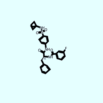 O=C(N[C@@H](Cc1ccccc1)C(=O)Nc1ccc(S(=O)(=O)NC23CC(C2)C3)cc1)c1cccc(F)c1